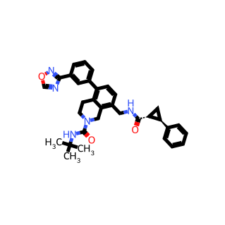 CC(C)(C)NC(=O)N1CCc2c(-c3cccc(-c4ncon4)c3)ccc(CNC(=O)[C@@H]3C[C@H]3c3ccccc3)c2C1